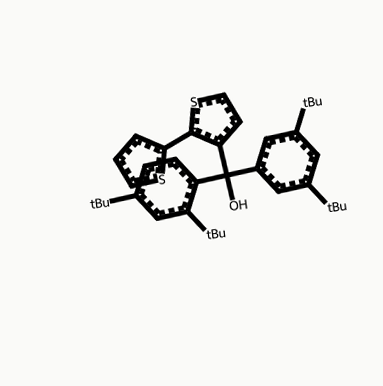 CC(C)(C)c1cc(C(C)(C)C)cc(C(O)(c2ccc(C(C)(C)C)cc2C(C)(C)C)c2ccsc2-c2cccs2)c1